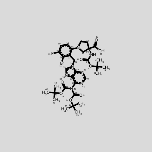 CC(C)(C)OC(=O)N[C@]1(C(=O)O)CCN(c2ccc(F)c(Br)c2Cn2cnc3c(N(C(=O)OC(C)(C)C)C(=O)OC(C)(C)C)ncnc32)C1